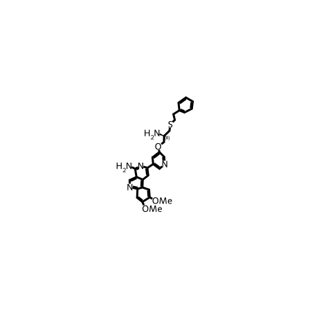 COc1cc2ncc3c(N)nc(-c4cncc(OC[C@@H](N)CSCCc5ccccc5)c4)cc3c2cc1OC